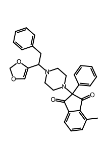 Cc1cccc2c1C(=O)C(c1ccccc1)(N1CCN(C(Cc3ccccc3)C3=COCO3)CC1)C2=O